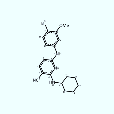 COc1cc(Nc2ccc(C#N)c(NC3CCCCC3)n2)ccc1Br